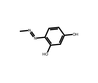 CN=Nc1ccc(O)cc1O